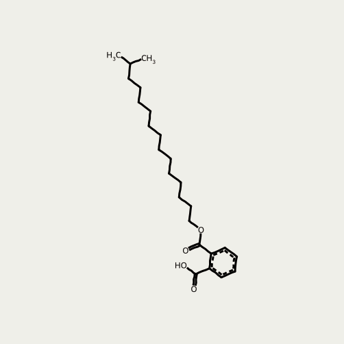 CC(C)CCCCCCCCCCCCCOC(=O)c1ccccc1C(=O)O